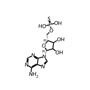 Nc1ncnc2c1ncn2[C@@H]1O[C@H](COP(O)(O)=S)C(O)C1O